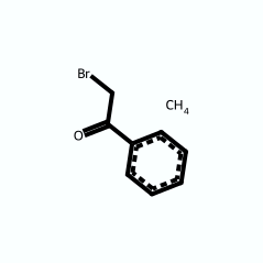 C.O=C(CBr)c1ccccc1